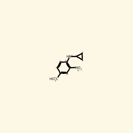 O=C(O)c1ccc(NC2CC2)c([N+](=O)[O-])c1